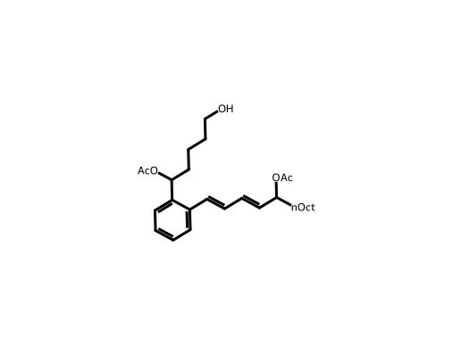 CCCCCCCCC(C=CC=Cc1ccccc1C(CCCCO)OC(C)=O)OC(C)=O